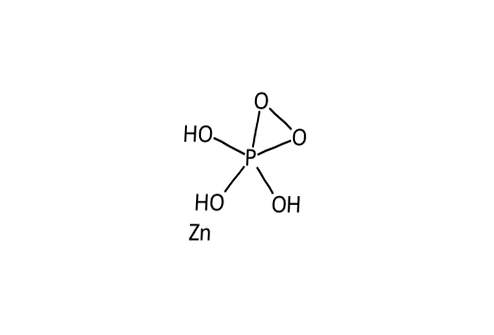 OP1(O)(O)OO1.[Zn]